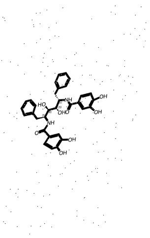 O=C(N[C@@H](Cc1ccccc1)[C@H](O)[C@H](O)[C@H](Cc1ccccc1)NC(=O)c1ccc(O)c(O)c1)c1ccc(O)c(O)c1